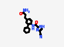 N#Cc1c[nH]c(C(=O)Nc2ccc(CCC(N)=O)cc2C2=CCCCC2)n1